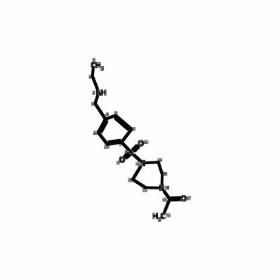 CCNCc1ccc(S(=O)(=O)N2CCN(C(C)=O)CC2)cc1